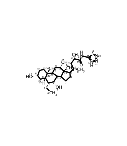 CC[C@H]1[C@@H](O)C2C3CCC([C@H](C)C[C@H](C)C(=O)Nc4nnn[nH]4)[C@@]3(C)[C@@H](O)CC2[C@@]2(C)CC[C@@H](O)C[C@@H]12